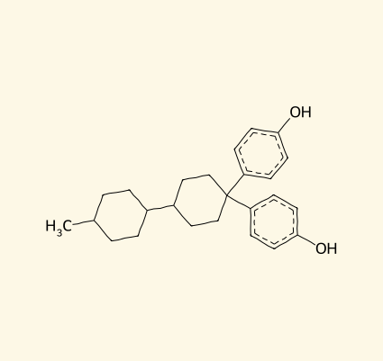 CC1CCC(C2CCC(c3ccc(O)cc3)(c3ccc(O)cc3)CC2)CC1